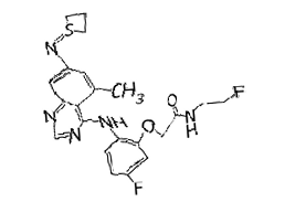 Cc1cc(N=S2CCC2)cc2ncnc(Nc3ccc(F)cc3OCC(=O)NCCF)c12